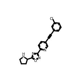 Clc1cccc(C#Cc2ccc(-c3noc(C4CCCN4)n3)nc2)c1